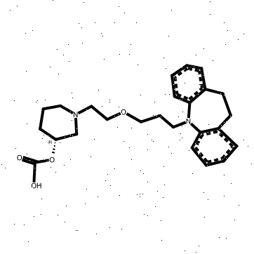 O=C(O)O[C@@H]1CCCN(CCOCCCN2c3ccccc3CCc3ccccc32)C1